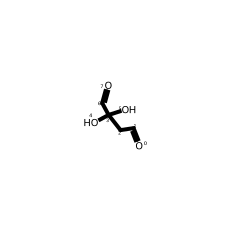 O=CCC(O)(O)C=O